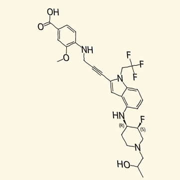 COc1cc(C(=O)O)ccc1NCC#Cc1cc2c(N[C@@H]3CCN(CC(C)O)C[C@@H]3F)cccc2n1CC(F)(F)F